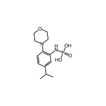 CC(C)c1ccc(N2CCOCC2)c(NP(=O)(O)O)c1